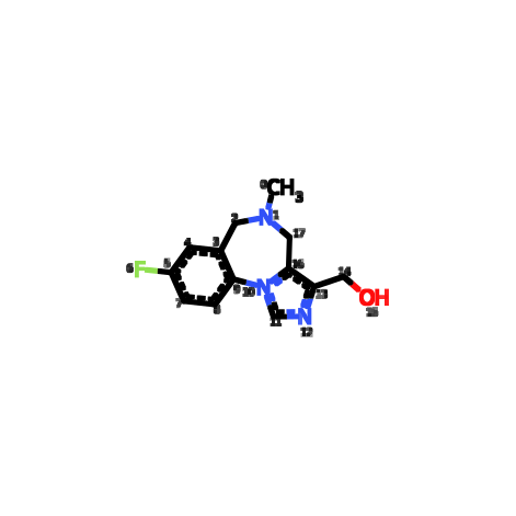 CN1Cc2cc(F)ccc2-n2cnc(CO)c2C1